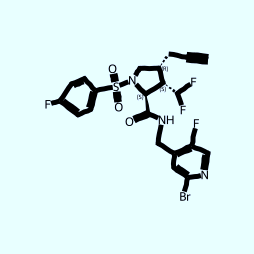 C#CC[C@H]1CN(S(=O)(=O)c2ccc(F)cc2)[C@H](C(=O)NCc2cc(Br)ncc2F)[C@H]1C(F)F